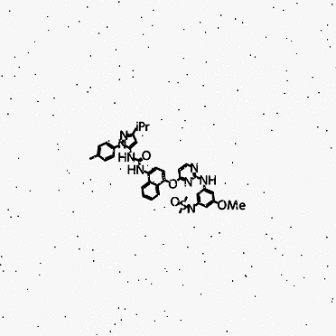 COc1cc(N=S(C)(C)=O)cc(Nc2nccc(Oc3ccc(NC(=O)Nc4cc(C(C)C)nn4-c4ccc(C)cc4)c4ccccc34)n2)c1